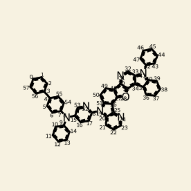 c1ccc(-c2ccc(N(c3ccccc3)c3ccc(-n4c5cccnc5c5c6oc7c(ncc8c7c7ccccc7n8-c7ccccc7)c6ccc54)nc3)cc2)cc1